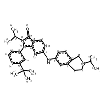 CC(C)N1CCc2cc(Nc3ncc4c(=O)n(C(C)C)n(-c5ccnc(C(C)(C)C)c5)c4n3)ccc2C1